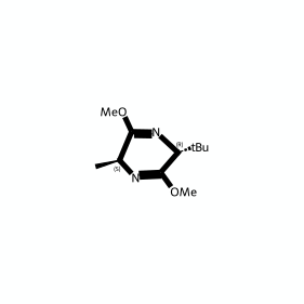 COC1=N[C@H](C(C)(C)C)C(OC)=N[C@H]1C